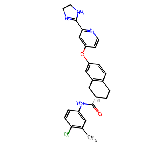 O=C(Nc1ccc(Cl)c(C(F)(F)F)c1)[C@H]1CCc2ccc(Oc3ccnc(C4=NCCN4)c3)cc2C1